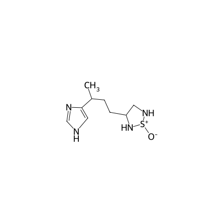 CC(CCC1CN[S+]([O-])N1)c1c[nH]cn1